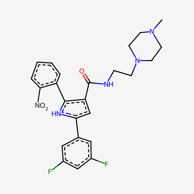 CN1CCN(CCNC(=O)c2cc(-c3cc(F)cc(F)c3)[nH]c2-c2ccccc2[N+](=O)[O-])CC1